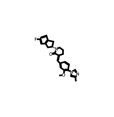 COc1cc(/C=C2\CCCN([C@H]3Cc4ccc(F)cc4C3)C2=O)ccc1-n1cnc(C)c1